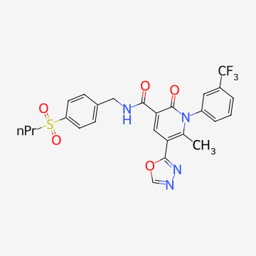 CCCS(=O)(=O)c1ccc(CNC(=O)c2cc(-c3nnco3)c(C)n(-c3cccc(C(F)(F)F)c3)c2=O)cc1